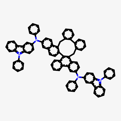 c1ccc(N(c2ccc3c4c(ccc3c2)-c2c(c3ccc(N(c5ccccc5)c5ccc6c(c5)c5ccccc5n6-c5ccccc5)cc3c3ccccc23)Cc2ccccc2-c2ccccc2C4)c2ccc3c(c2)c2ccccc2n3-c2ccccc2)cc1